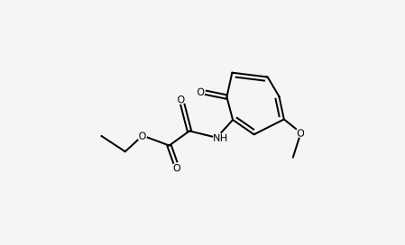 CCOC(=O)C(=O)Nc1cc(OC)cccc1=O